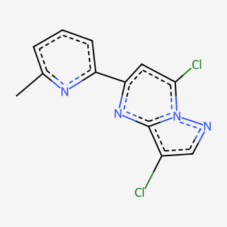 Cc1cccc(-c2cc(Cl)n3ncc(Cl)c3n2)n1